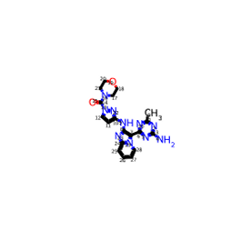 Cc1nc(N)nc(-c2c(Nc3ccn(C(=O)N4CCOCC4)n3)nc3ccccn23)n1